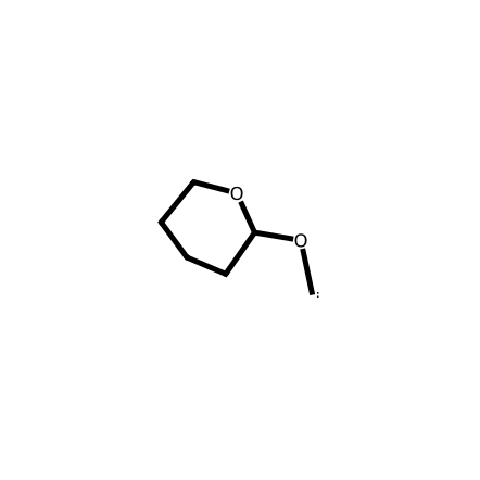 [CH]OC1CCCCO1